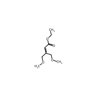 CCOC(=O)C=C(COC)COC